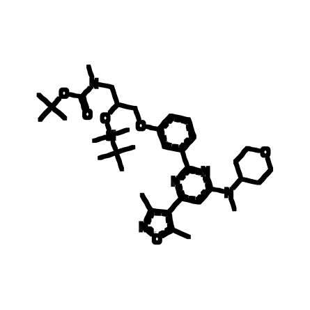 Cc1noc(C)c1-c1cc(N(C)C2CCOCC2)nc(-c2cccc(OCC(CN(C)C(=O)OC(C)(C)C)O[Si](C)(C)C(C)(C)C)c2)n1